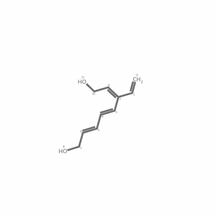 C=CC(C=CC=CCO)=CCO